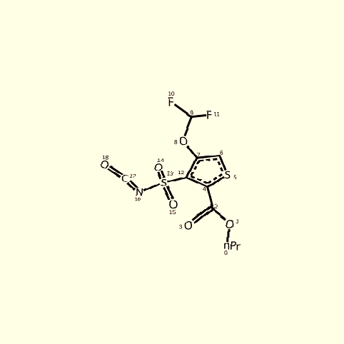 CCCOC(=O)c1scc(OC(F)F)c1S(=O)(=O)N=C=O